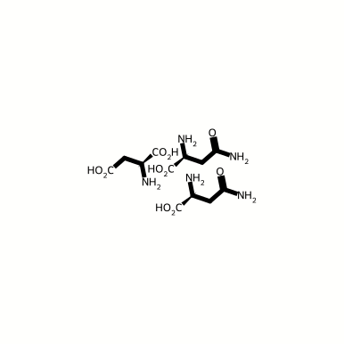 NC(=O)C[C@H](N)C(=O)O.NC(=O)C[C@H](N)C(=O)O.N[C@@H](CC(=O)O)C(=O)O